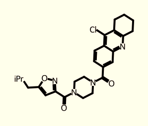 CC(C)Cc1cc(C(=O)N2CCN(C(=O)c3ccc4c(Cl)c5c(nc4c3)CCCC5)CC2)no1